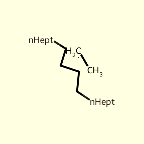 [CH2]C.[CH2]CCCCCCCCCCCCCCCCC